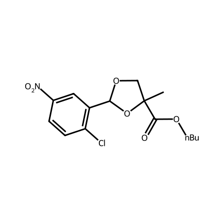 CCCCOC(=O)C1(C)COC(c2cc([N+](=O)[O-])ccc2Cl)O1